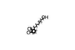 OCCCSC[CH]CCc1cccc(Cl)c1Cl